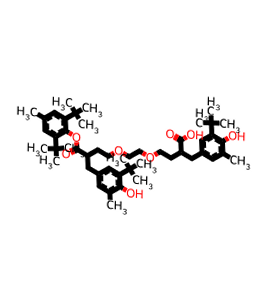 Cc1cc(C(C)(C)C)c(OC(=O)C(CCOCCOCCC(Cc2cc(C)c(O)c(C(C)(C)C)c2)C(=O)O)Cc2cc(C)c(O)c(C(C)(C)C)c2)c(C(C)(C)C)c1